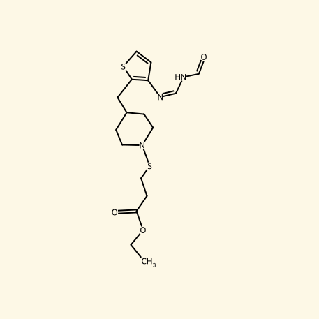 CCOC(=O)CCSN1CCC(Cc2sccc2/N=C\NC=O)CC1